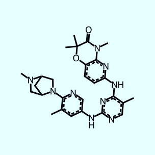 Cc1cnc(Nc2cnc(N3CC4CC3CN4C)c(C)c2)nc1Nc1ccc2c(n1)N(C)C(=O)C(C)(C)O2